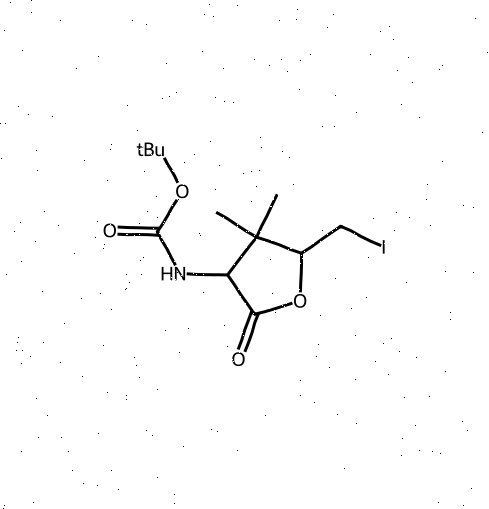 CC(C)(C)OC(=O)NC1C(=O)OC(CI)C1(C)C